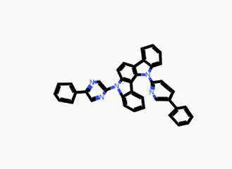 c1ccc(-c2ccc(-n3c4ccccc4c4ccc5c(c6ccccc6n5-c5cnc(-c6ccccc6)cn5)c43)nc2)cc1